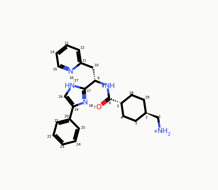 NC[C@H]1CC[C@H](C(=O)N[C@@H](Cc2ccccn2)c2nc(-c3ccccc3)c[nH]2)CC1